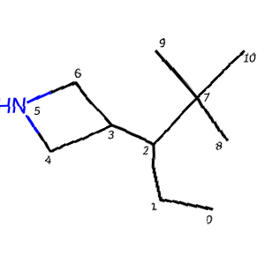 CCC(C1CNC1)C(C)(C)C